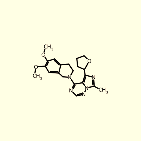 COc1cc2c(cc1OC)CN(c1ncnn3c(C)nc(C4CCCO4)c13)CC2